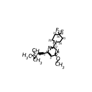 COc1cc(C#C[Si](C)(C)C)nc(N2CCC(F)(F)CC2)n1